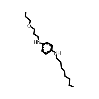 CCCCCCCCNc1ccc(NCCCOCCC)cc1